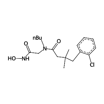 CCCCN(CC(=O)NO)C(=O)CC(C)(C)Cc1ccccc1Cl